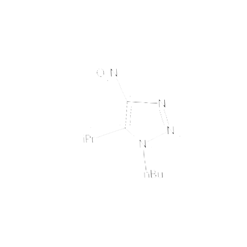 CCCCn1nnc([N+](=O)[O-])c1C(C)C